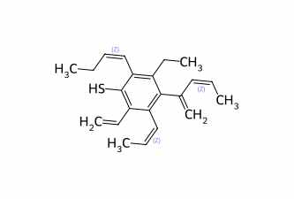 C=Cc1c(S)c(/C=C\CC)c(CC)c(C(=C)/C=C\C)c1/C=C\C